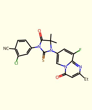 CCc1cc(=O)n2cc(N3C(=S)N(c4ccc(C#N)c(Cl)c4)C(=O)C3(C)C)cc(F)c2n1